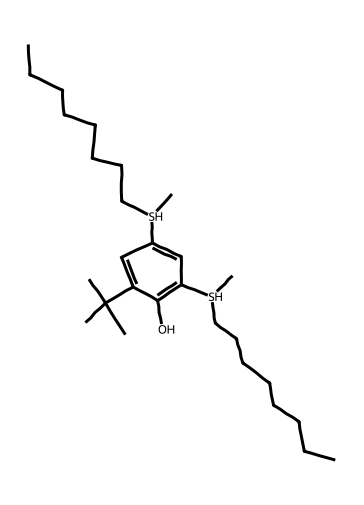 CCCCCCCC[SH](C)c1cc([SH](C)CCCCCCCC)c(O)c(C(C)(C)C)c1